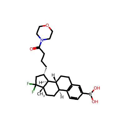 C[C@]12CC[C@@H]3c4ccc(B(O)O)cc4CC[C@H]3[C@@H]1[C@@H](CCCC(=O)N1CCOCC1)CC2(F)F